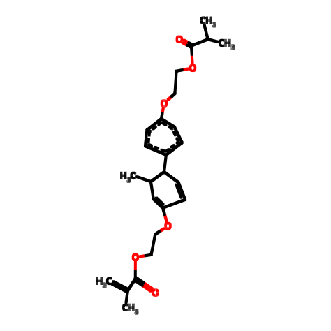 C=C(C)C(=O)OCCOC1=CC(C)C(c2ccc(OCCOC(=O)C(C)C)cc2)C=C1